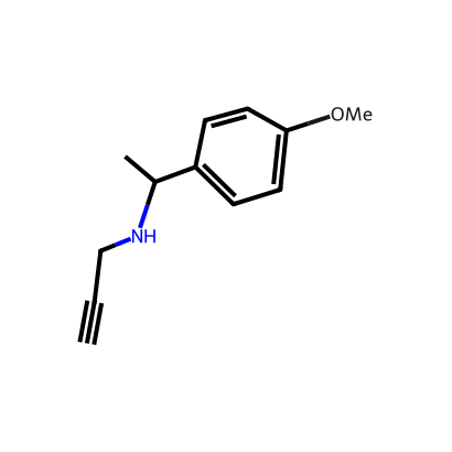 C#CCNC(C)c1ccc(OC)cc1